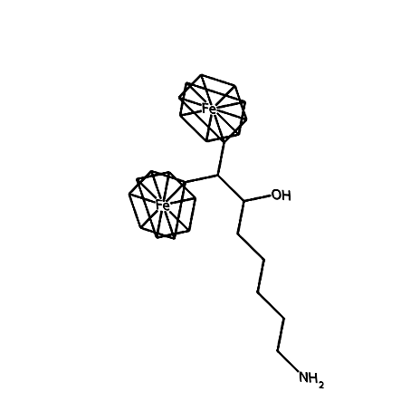 NCCCCCC(O)C([C]12[CH]3[CH]4[CH]5[CH]1[Fe]45321678[CH]2[CH]1[CH]6[CH]7[CH]28)[C]12[CH]3[CH]4[CH]5[CH]1[Fe]45321678[CH]2[CH]1[CH]6[CH]7[CH]28